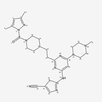 Cc1cc(C)n(C(=O)N2CCC(CCc3nc(Nc4ncc(C#N)s4)cc(N4CCN(C)CC4)n3)CC2)n1